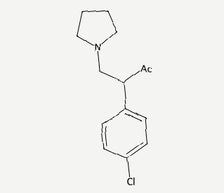 CC(=O)C(CN1CCCC1)c1ccc(Cl)cc1